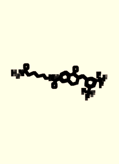 NC(=O)CCCCCNC(=O)c1ccc2c(c1)CC/C(=C\c1cc(C(F)(F)F)cc(C(F)(F)F)c1)C2=O